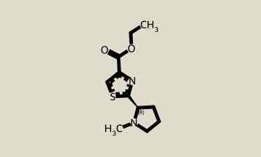 CCOC(=O)c1csc([C@H]2CCCN2C)n1